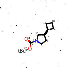 CC(C)(C)OC(=O)N1CCC(=C2CCC2)C1